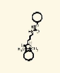 CC12NC(CCCCNC(=O)BOC3CCCCCCCCC3)C(=O)C1(C)C1CCC/C=C\CCC2C1